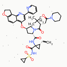 C=C[C@@H]1C[C@]1(NC(=O)[C@@H]1C[C@@H](Oc2cc(-c3ccccn3)nc3c4c(ccc23)OCC4)CN1C(=O)[C@@H](CC(=O)N1CCCCC1)C(C)(C)C)C(=O)NS(=O)(=O)C1CC1